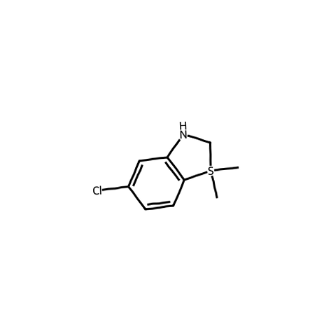 CS1(C)CNc2cc(Cl)ccc21